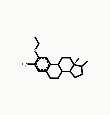 CCOc1cc2c(cc1N)CCC1C2CC[C@]2(C)C(C)CCC12